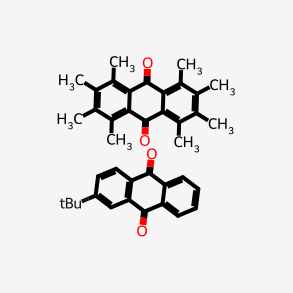 CC(C)(C)c1ccc2c(c1)C(=O)c1ccccc1C2=O.Cc1c(C)c(C)c2c(c1C)C(=O)c1c(C)c(C)c(C)c(C)c1C2=O